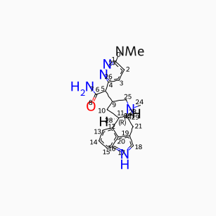 CNc1ccc(C(C(N)=O)C2C[C@@H]3c4cccc5[nH]cc(c45)C[C@H]3N(C)C2)nn1